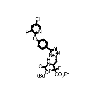 CCOC(=O)C(F)(F)C(Cn1nnc(-c2ccc(Oc3ncc(Cl)cc3F)cc2)n1)NC(=O)OC(C)(C)C